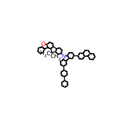 CC1(C)c2cc(-n3c4ccc(-c5ccc(-c6ccccc6)cc5)cc4c4cc(-c5ccc6c(ccc7ccccc76)c5)ccc43)ccc2-c2ccc3oc4ccccc4c3c21